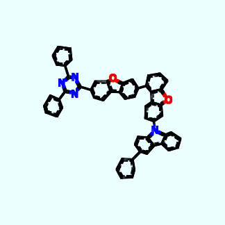 c1ccc(-c2ccc3c(c2)c2ccccc2n3-c2ccc3c(c2)oc2cccc(-c4ccc5c(c4)oc4cc(-c6nc(-c7ccccc7)nc(-c7ccccc7)n6)ccc45)c23)cc1